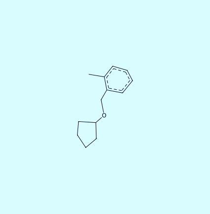 Cc1ccccc1COC1CCCC1